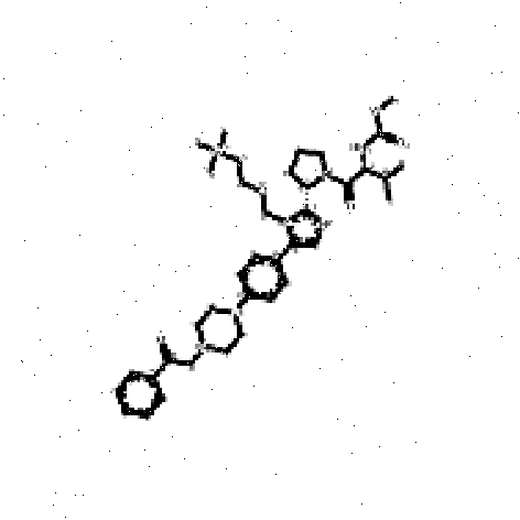 COC(=O)N[C@H](C(=O)N1CCC[C@H]1c1ncc(-c2ccc(N3CCN(CC(=O)c4ccccc4)CC3)cc2)n1COCC[Si](C)(C)C)C(C)C